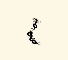 Clc1ccc2ccc(-c3cc4cc(OCc5ccc(-c6nnn[nH]6)cc5)ccc4o3)nc2c1